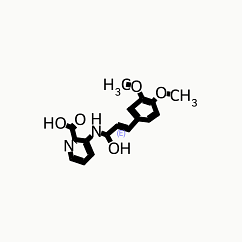 COc1ccc(/C=C/C(O)Nc2cccnc2C(=O)O)cc1OC